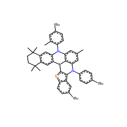 Cc1cc2c3c(c1)N(c1ccc(C(C)(C)C)cc1)c1c(sc4ccc(C(C)(C)C)cc14)B3c1cc3c(cc1N2c1ccc(C(C)(C)C)cc1C)C(C)(C)CCC3(C)C